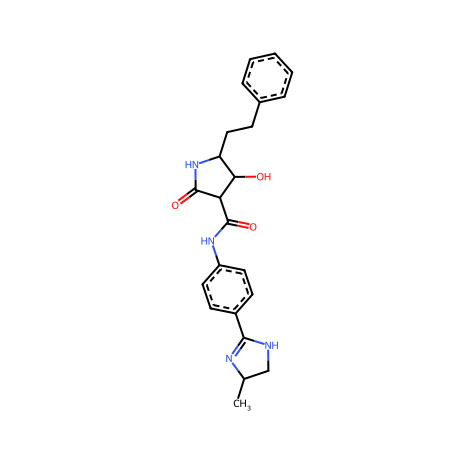 CC1CNC(c2ccc(NC(=O)C3C(=O)NC(CCc4ccccc4)C3O)cc2)=N1